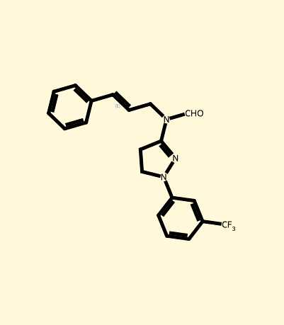 O=CN(C/C=C/c1ccccc1)C1=NN(c2cccc(C(F)(F)F)c2)CC1